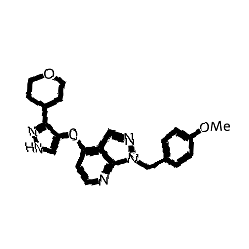 COc1ccc(Cn2ncc3c(Oc4c[nH]nc4C4CCOCC4)ccnc32)cc1